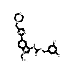 CCn1cc(NC(=O)OCc2cc(Cl)cc(Cl)c2)c2cc(-c3nc(CN4CCOCC4)cs3)ccc21